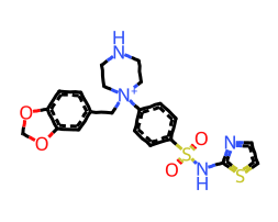 O=S(=O)(Nc1nccs1)c1ccc([N+]2(Cc3ccc4c(c3)OCO4)CCNCC2)cc1